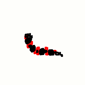 COc1ccc(OC(=O)c2ccc(OC(=O)Oc3ccc(C(=O)Oc4ccc(OC)cc4)cc3)cc2)cc1